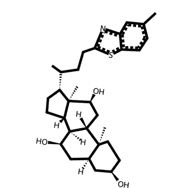 Cc1ccc2sc(CCC(C)[C@H]3CC[C@H]4[C@@H]5[C@H](O)C[C@@H]6C[C@H](O)CC[C@]6(C)[C@H]5C[C@H](O)[C@]34C)nc2c1